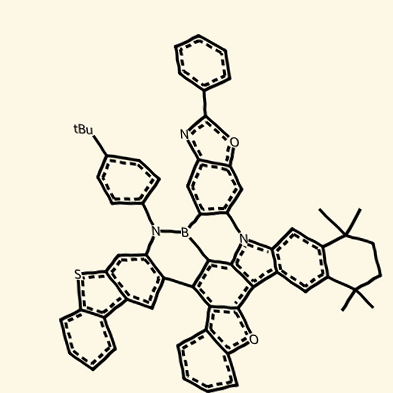 CC(C)(C)c1ccc(N2B3c4cc5nc(-c6ccccc6)oc5cc4-n4c5cc6c(cc5c5c7oc8ccccc8c7c(c3c54)-c3cc4c(cc32)sc2ccccc24)C(C)(C)CCC6(C)C)cc1